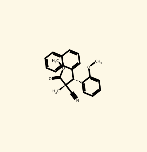 COC(=O)[C@@](C)(C#N)[C@@H](c1ccccc1OC)c1cccc2ccccc12